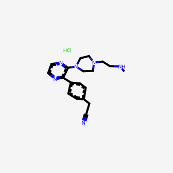 CNCCN1CCN(c2nccnc2-c2ccc(CC#N)cc2)CC1.Cl